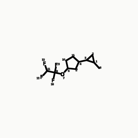 CC1CC1C1[CH]C(OC(F)(F)C(F)F)CC1